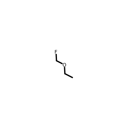 CCOCF